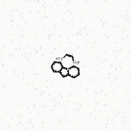 O=C(O)/C=C\C(=O)O.c1ccc2c(c1)cc1ccccn12